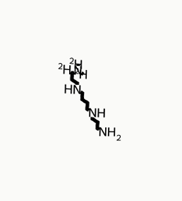 [2H]C(CCNCCCCNCCCN)N([2H])[2H]